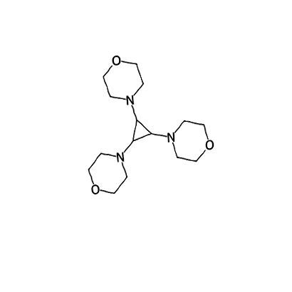 C1CN(C2C(N3CCOCC3)C2N2CCOCC2)CCO1